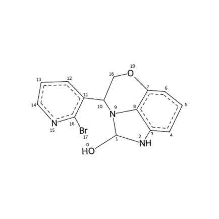 OC1Nc2cccc3c2N1C(c1cccnc1Br)CO3